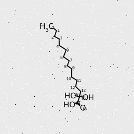 CCCCCCCCCCCCCCC(O)(O)C(=O)O